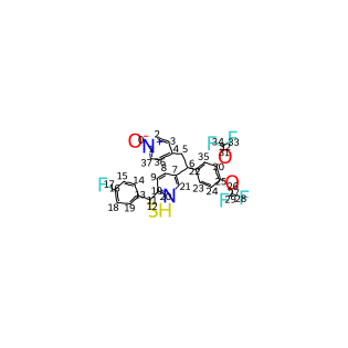 [O-][n+]1ccc(CC(c2ccc(C(S)c3ccc(F)cc3)nc2)c2ccc(OC(F)F)c(OC(F)F)c2)cc1